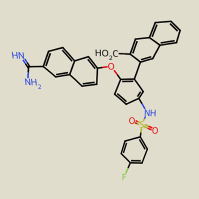 N=C(N)c1ccc2cc(Oc3ccc(NS(=O)(=O)c4ccc(F)cc4)cc3-c3cc4ccccc4cc3C(=O)O)ccc2c1